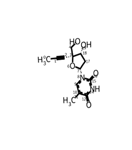 CC#C[C@@]1(CO)O[C@@H](n2cc(C)c(=O)[nH]c2=O)C[C@H]1O